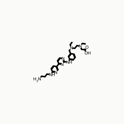 CCN(CCN(CC)Cc1cccc(Nc2nccc(-c3ccc(NCCCN)nc3)n2)c1)CC(=O)O